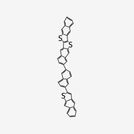 c1ccc2cc3sc(-c4ccc5cc(-c6ccc7cc8c(cc7c6)sc6c7cc9ccccc9cc7sc86)ccc5c4)cc3cc2c1